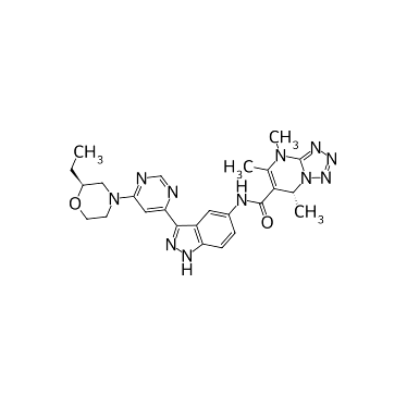 CC[C@H]1CN(c2cc(-c3n[nH]c4ccc(NC(=O)C5=C(C)N(C)c6nnnn6[C@@H]5C)cc34)ncn2)CCO1